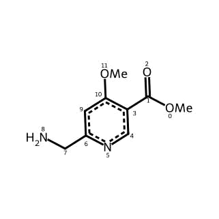 COC(=O)c1cnc(CN)cc1OC